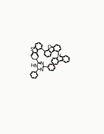 C1=c2sc3cccc(-c4cccc5c4oc4cccc(-n6c7ccccc7c7ccccc76)c45)c3c2=CC(C2=NC(c3ccccc3)=NC(c3ccccc3)N2)C1